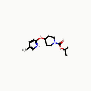 Bc1ccc(OC2CCN(C(=O)OC(C)C)CC2)nc1